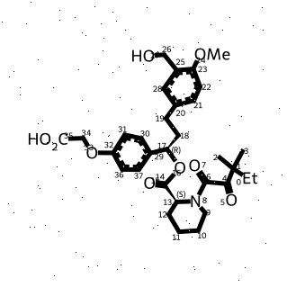 CCC(C)(C)C(=O)C(=O)N1CCCC[C@H]1C(=O)O[C@H](CCc1ccc(OC)c(CO)c1)c1ccc(OCC(=O)O)cc1